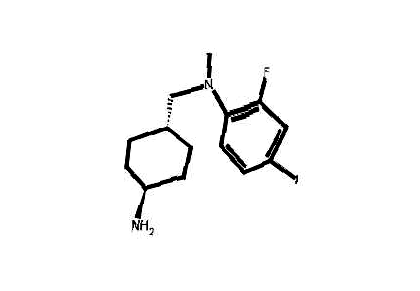 CN(C[C@H]1CC[C@H](N)CC1)c1ccc(I)cc1F